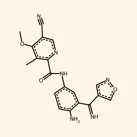 COc1c(C#N)cnc(C(=O)Nc2ccc(N)c(C(=N)c3cnoc3)c2)c1C